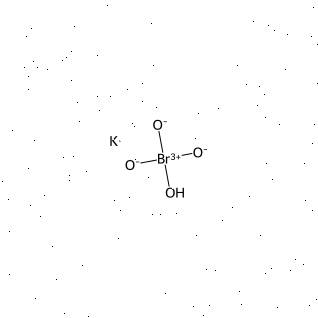 [K].[O-][Br+3]([O-])([O-])O